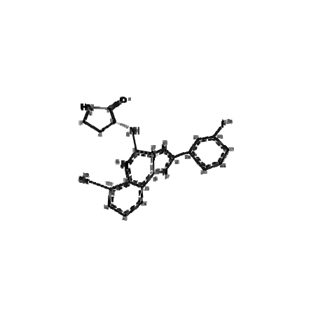 O=C1NCC[C@H]1Nc1nc2c(Br)cccc2c2nc(-c3cccc(F)c3)nn12